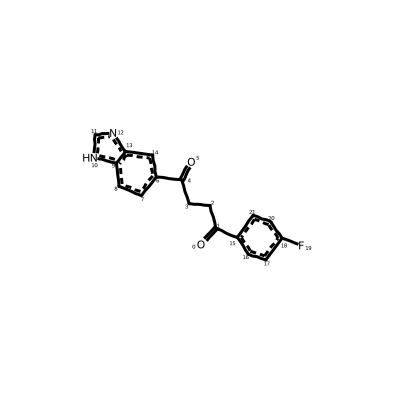 O=C(CCC(=O)c1ccc2[nH]cnc2c1)c1ccc(F)cc1